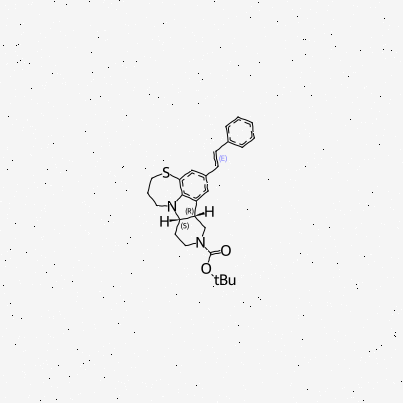 CC(C)(C)OC(=O)N1CC[C@H]2[C@@H](C1)c1cc(/C=C/c3ccccc3)cc3c1N2CCCS3